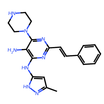 Cc1cc(Nc2nc(C=Cc3ccccc3)nc(N3CCNCC3)c2N)[nH]n1